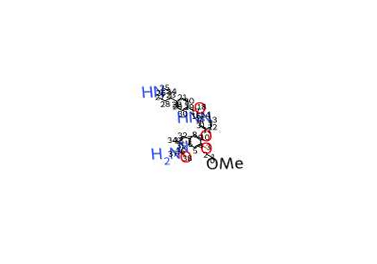 COCCOc1cc2c(cc1Oc1ccnc(NC(=O)c3ccc(C4CCNCC4)cc3)c1)cc(C)n2C(N)=O